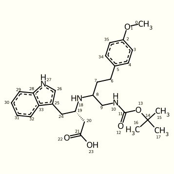 COc1ccc(CCC(CNC(=O)OC(C)(C)C)N[C@H](CC(=O)O)Cc2c[nH]c3ccccc23)cc1